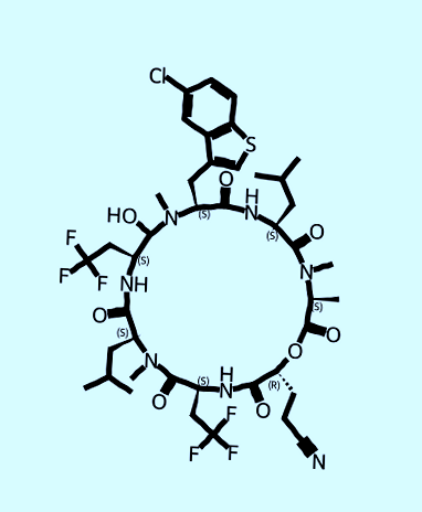 CC(C)C[C@@H]1NC(=O)[C@H](Cc2csc3ccc(Cl)cc23)N(C)C(O)[C@H](CC(F)(F)F)NC(=O)[C@H](CC(C)C)N(C)C(=O)[C@H](CC(F)(F)F)NC(=O)[C@@H](CCC#N)OC(=O)[C@H](C)N(C)C1=O